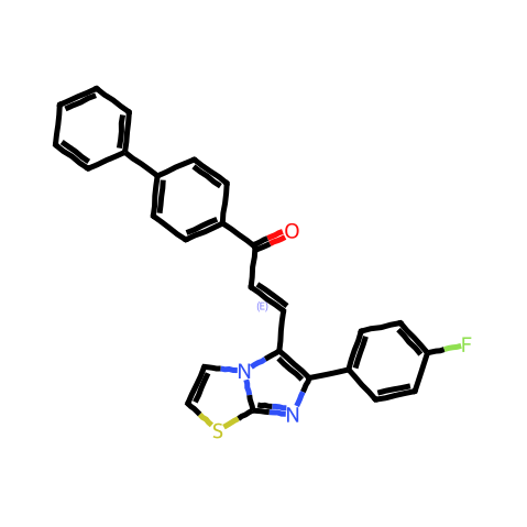 O=C(/C=C/c1c(-c2ccc(F)cc2)nc2sccn12)c1ccc(-c2ccccc2)cc1